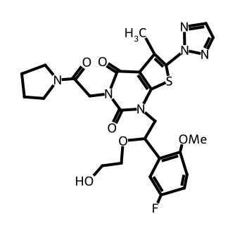 COc1ccc(F)cc1C(Cn1c(=O)n(CC(=O)N2CCCC2)c(=O)c2c(C)c(-n3nccn3)sc21)OCCO